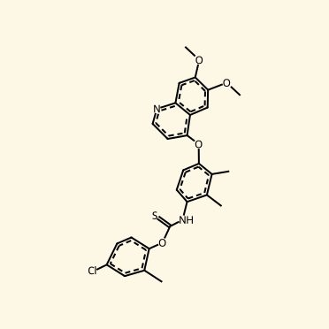 COc1cc2nccc(Oc3ccc(NC(=S)Oc4ccc(Cl)cc4C)c(C)c3C)c2cc1OC